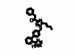 CCC=Cc1nc(C(=O)Cc2ccccc2)nn1Cc1ccc(-c2ccccc2-c2nnn[nH]2)cc1